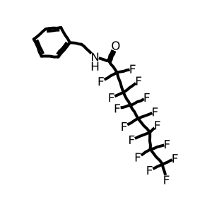 O=C(NCc1ccccc1)C(F)(F)C(F)(F)C(F)(F)C(F)(F)C(F)(F)C(F)(F)C(F)(F)F